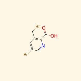 O=C(O)c1ncc(Br)cc1CBr